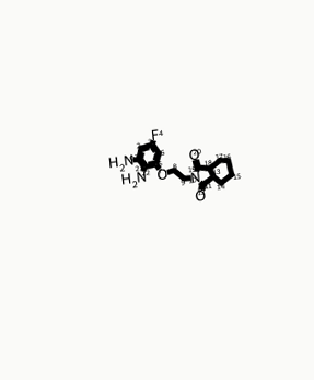 Nc1cc(F)cc(OCCN2C(=O)C3CCCCC3C2=O)c1N